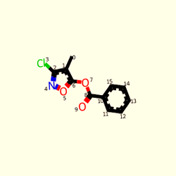 Cc1c(Cl)noc1OC(=O)c1ccccc1